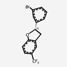 FC(F)(F)c1ccc2c(c1)C[C@@H](c1cccc(Br)c1)O2